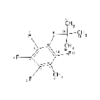 Cc1c(F)c(F)c(F)c(CC(C)(C)C)c1F